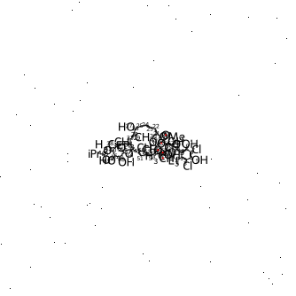 CCc1c(Cl)c(O)c(Cl)c(O)c1C(=O)OC1C(C)OC(OC/C2=C\C=C\CC(O)/C(C)=C/C(CC)C(OC3OC(C)(C)C(OC(=O)C(C)C)C(O)C3O)/C(C)=C/C(C)=C/CC(C(C)(C)O)OC2=O)C(OC)C1O